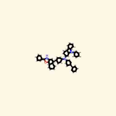 c1ccc(-c2ccc(N(c3ccc(-c4cc5c(c6ccccc46)OC(c4ccccc4)N5)cc3)c3ccc4c5ccccc5n(-c5ccccc5)c4c3)cc2)cc1